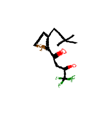 CC(C)(C)Cc1ccsc1C(=O)CC(=O)C(F)(F)F